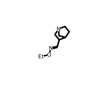 CCON=CC1CN2CCC1C2